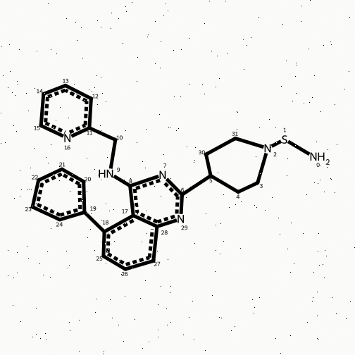 NSN1CCC(c2nc(NCc3ccccn3)c3c(-c4ccccc4)cccc3n2)CC1